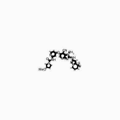 CO[C@@H]1CCN(C(=O)Nc2cc(Oc3cnc4nc(Nc5cc6n(n5)CCCC6(F)F)n(C)c4c3C#N)ccn2)C1